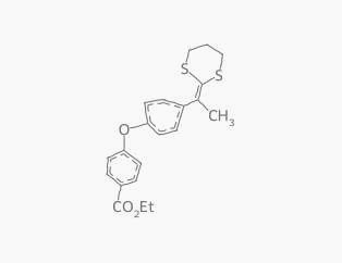 CCOC(=O)c1ccc(Oc2ccc(C(C)=C3SCCCS3)cc2)cc1